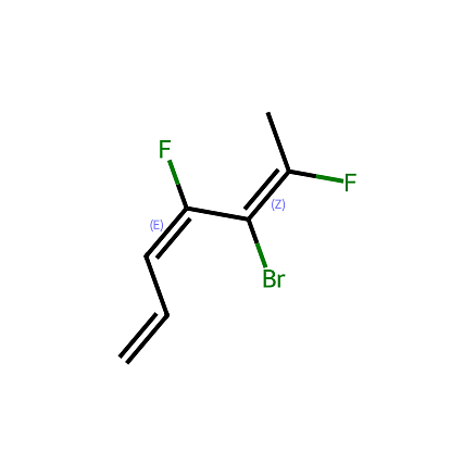 C=C/C=C(F)\C(Br)=C(/C)F